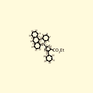 CCOC(=O)c1sc(Nc2ccccc2-c2c3ccccc3cc3ccccc23)nc1-c1ccccc1